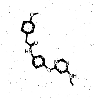 CCNc1cc(Oc2ccc(NC(=O)Cc3ccc(OC)cc3)cc2)ncn1